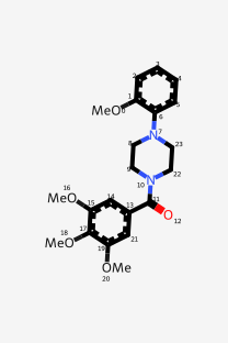 COc1ccccc1N1CCN(C(=O)c2cc(OC)c(OC)c(OC)c2)CC1